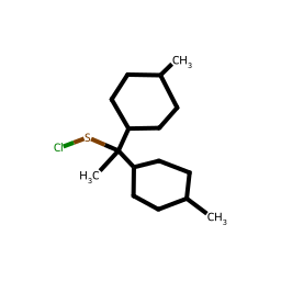 CC1CCC(C(C)(SCl)C2CCC(C)CC2)CC1